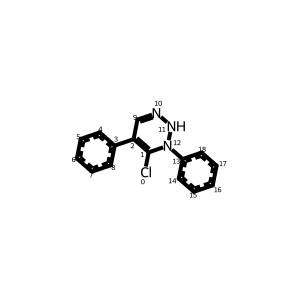 ClC1=C(c2ccccc2)C=NNN1c1ccccc1